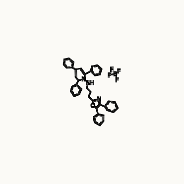 C1=C(c2ccccc2)C=C(c2ccccc2)N(NCCCc2nc(-c3ccccc3)c(-c3ccccc3)o2)C1c1ccccc1.F[B-](F)(F)F